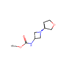 CC(C)(C)OC(=O)NC1CN([C@H]2CCOC2)C1